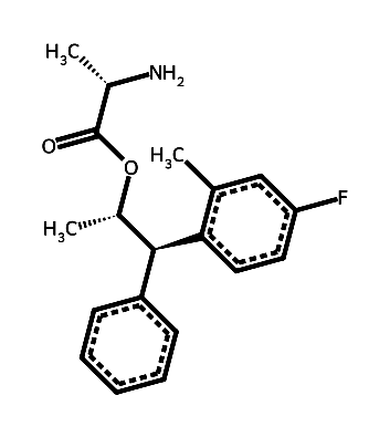 Cc1cc(F)ccc1[C@@H](c1ccccc1)[C@H](C)OC(=O)[C@H](C)N